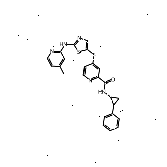 Cc1ccnc(Nc2ncc(Sc3ccnc(C(=O)NC4CC4c4ccccc4)c3)s2)c1